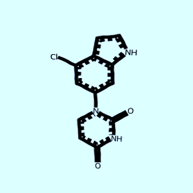 O=c1ccn(-c2cc(Cl)c3cc[nH]c3c2)c(=O)[nH]1